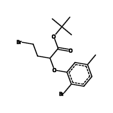 Cc1ccc(Br)c(OC(CCBr)C(=O)OC(C)(C)C)c1